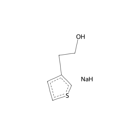 OCCc1ccsc1.[NaH]